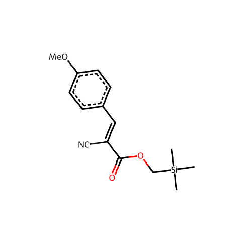 COc1ccc(/C=C(\C#N)C(=O)OC[Si](C)(C)C)cc1